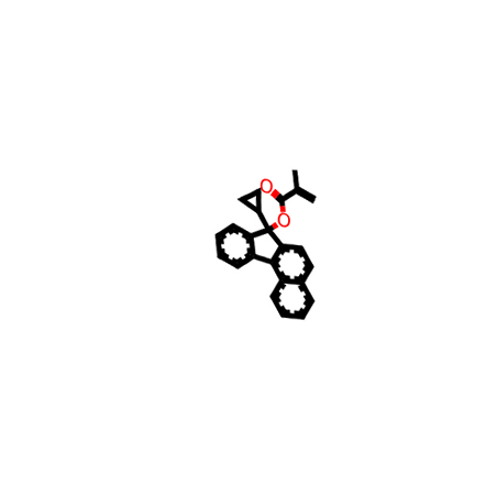 C=C(C)C(=O)OC1(C2CC2)c2ccccc2-c2c1ccc1ccccc21